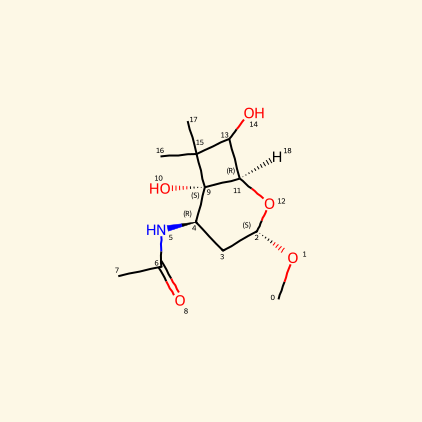 CO[C@@H]1C[C@@H](NC(C)=O)[C@]2(O)[C@H](O1)C(O)C2(C)C